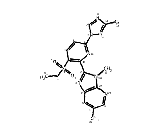 CCS(=O)(=O)c1ccc(-n2cnc(Cl)n2)nc1-c1nc2cc(C)cnc2n1C